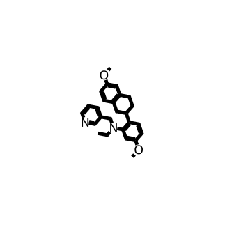 CCN(Cc1cccnc1)c1cc(OC)ccc1C1CCc2cc(OC)ccc2C1